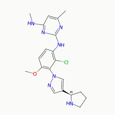 CNc1cc(C)nc(Nc2ccc(OC)c(-n3cc([C@H]4CCCN4)cn3)c2Cl)n1